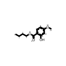 CCCCOC(=O)c1ccc(OC)cc1O